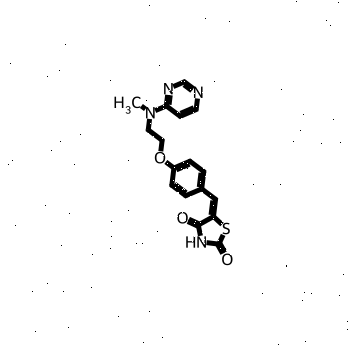 CN(CCOc1ccc(C=C2SC(=O)NC2=O)cc1)c1ccncn1